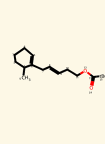 CC1CCCC=C1C/C=C/CCOC(=O)C(C)(C)C